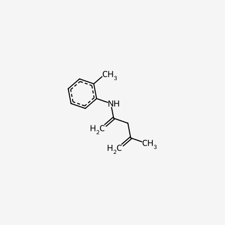 C=C(C)CC(=C)Nc1ccccc1C